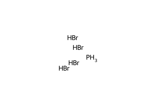 Br.Br.Br.Br.P